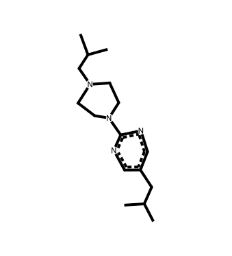 CC(C)Cc1cnc(N2CCN(CC(C)C)CC2)nc1